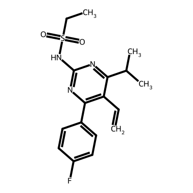 C=Cc1c(-c2ccc(F)cc2)nc(NS(=O)(=O)CC)nc1C(C)C